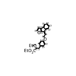 CCOC(=O)C(Cc1ccc(OCC=C2c3ccccc3-c3ccoc32)cc1)OCC